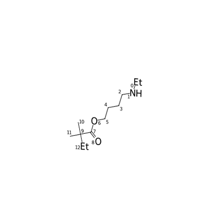 CCNCCCCOC(=O)C(C)(C)CC